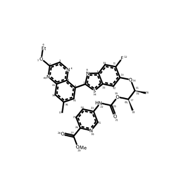 CCOc1cnc2c(-c3nc4cc(F)c(O[C@@H](C)[C@@H](C)OC(=O)Nc5ccc(C(=O)OC)nc5)cc4s3)cc(C)cc2n1